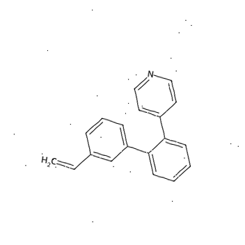 C=Cc1cccc(-c2ccccc2-c2ccncc2)c1